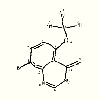 [2H]C([2H])([2H])Oc1ccc(Br)c2nc[nH]c(=O)c12